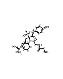 CS(=O)(=O)[C@](CCCNC(=N)N)(C(=O)Nc1ccc([N+](=O)[O-])cc1)N(C(=O)CNC(=O)CN)C1CCCCC1